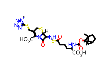 Cn1nnnc1SCC1=C(C(=O)O)N2C(=O)C(NSC(=O)CCCC(NC(=O)OC3CC4CCC3(C)C4(C)C)C(=O)O)[C@@H]2SC1